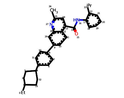 CCC1CCC(c2ccc(-c3ccc4c(C(=O)Nc5ccccc5C(C)C)cc(C)nc4c3)cc2)CC1